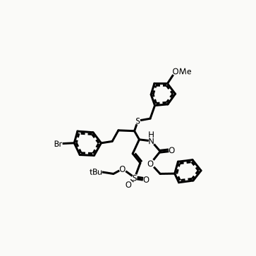 COc1ccc(CSC(CCc2ccc(Br)cc2)C(C=CS(=O)(=O)OCC(C)(C)C)NC(=O)OCc2ccccc2)cc1